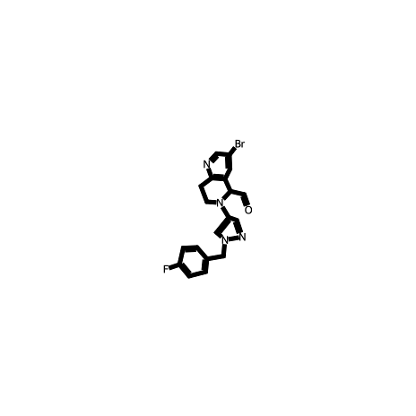 O=CC1c2cc(Br)cnc2CCN1c1cnn(Cc2ccc(F)cc2)c1